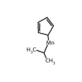 C[CH](C)[Mn][CH]1C=CC=C1